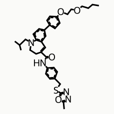 CCCCOCCOc1ccc(-c2ccc3c(c2)C=C(C(=O)Nc2ccc(CSc4nnc(C)o4)cc2)CCN3CC(C)C)cc1